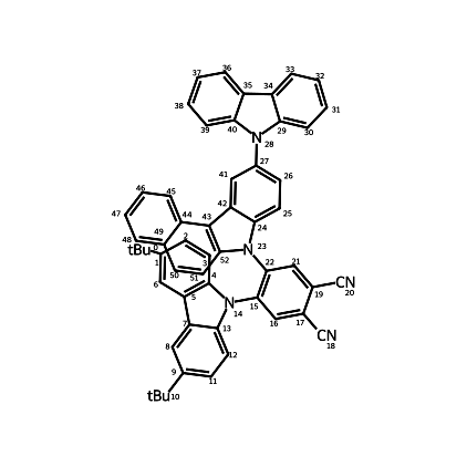 CC(C)(C)c1ccc2c(c1)c1cc(C(C)(C)C)ccc1n2-c1cc(C#N)c(C#N)cc1-n1c2ccc(-n3c4ccccc4c4ccccc43)cc2c2c3ccccc3ccc21